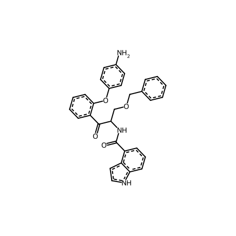 Nc1ccc(Oc2ccccc2C(=O)C(COCc2ccccc2)NC(=O)c2cccc3[nH]ccc23)cc1